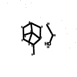 CC1CCC2CC1C2(C)C.CCO